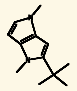 Cn1ccc2c1cc(C(C)(C)C)n2C